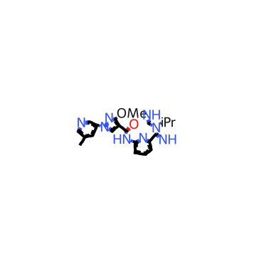 COc1nn(-c2cncc(C)c2)cc1C(=O)Nc1cccc(C(=N)N(C=N)C(C)C)n1